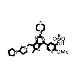 COc1ncc(-c2nc(N3CCOCC3)nc3c(CN4CCC(N5CCCC5)C4)c(C)sc23)cc1NS(C)(=O)=O